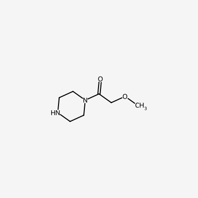 COCC(=O)N1CCNCC1